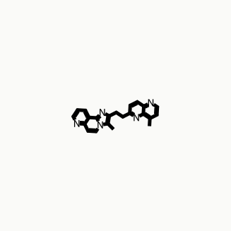 Cc1ccnc2ccc(CCc3nc4c5cccnc5ccn4c3C)nc12